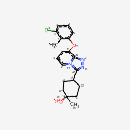 Cc1c(Cl)cccc1Oc1cccn2c(C3CCC(C)(O)CC3)nnc12